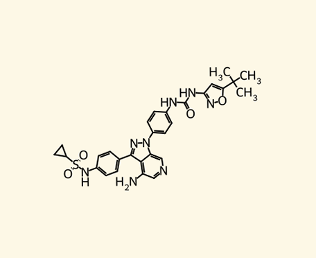 CC(C)(C)c1cc(NC(=O)Nc2ccc(-n3nc(-c4ccc(NS(=O)(=O)C5CC5)cc4)c4c(N)cncc43)cc2)no1